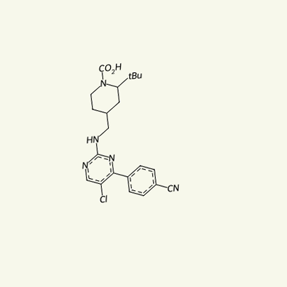 CC(C)(C)C1CC(CNc2ncc(Cl)c(-c3ccc(C#N)cc3)n2)CCN1C(=O)O